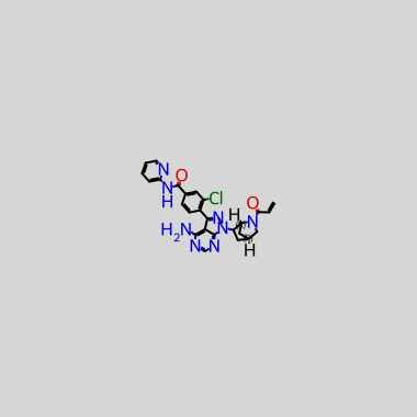 C=CC(=O)N1C[C@H]2CC(n3nc(-c4ccc(C(=O)Nc5ccccn5)cc4Cl)c4c(N)ncnc43)[C@H]1C2